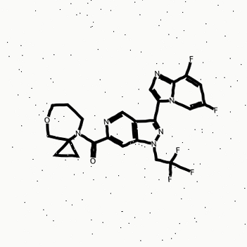 O=C(c1cc2c(cn1)c(-c1cnc3c(F)cc(F)cn13)nn2CC(F)(F)F)N1CCCOCC12CC2